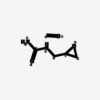 C=O.NC(=O)NCC1CO1